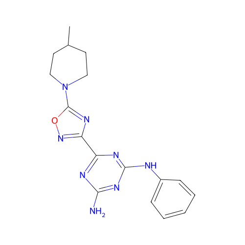 CC1CCN(c2nc(-c3nc(N)nc(Nc4ccccc4)n3)no2)CC1